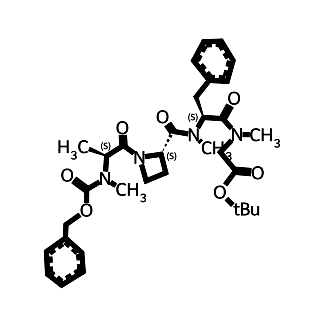 C[C@@H](C(=O)N1CC[C@H]1C(=O)N(C)[C@@H](Cc1ccccc1)C(=O)N(C)CC(=O)OC(C)(C)C)N(C)C(=O)OCc1ccccc1